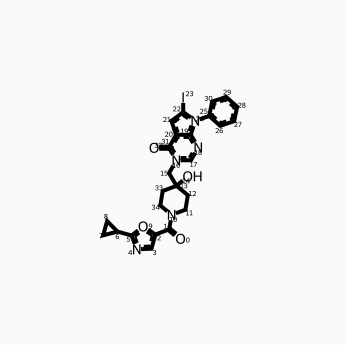 O=C(c1cnc(C2CC2)o1)N1CCC(O)(Cn2cnc3c(cc(I)n3-c3ccccc3)c2=O)CC1